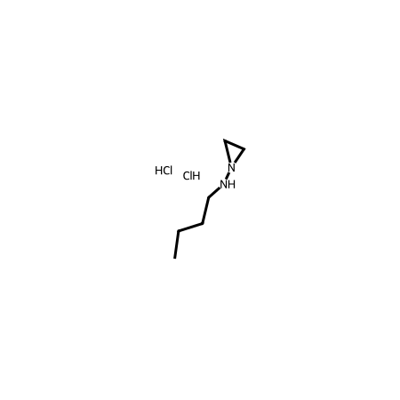 CCCCNN1CC1.Cl.Cl